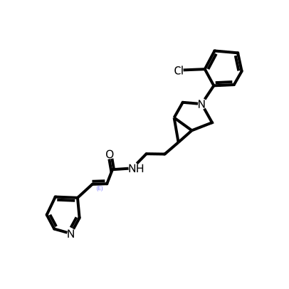 O=C(/C=C/c1cccnc1)NCCC1C2CN(c3ccccc3Cl)CC12